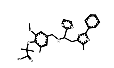 COc1cc(CNC(Cc2nc(-c3ccccc3)oc2C)c2ncco2)cc(F)c1OC(C)(C)C(=O)O